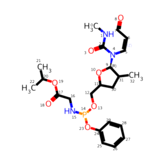 CNC(=O)N(/C=C\C=O)[C@@H]1OC(COP(NCC(=O)OC(C)C)Oc2ccccc2)CC1C